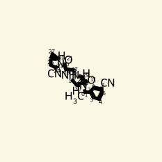 C[C@H](c1cccc(C#N)c1)N1C(=O)[C@@H]2C[C@H]1CN2C[C@H](N)C(=O)N1[C@H](C#N)CC2C[C@@H]21